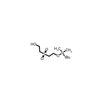 CC(C)(C)[Si](C)(C)OCCS(=O)(=O)CCO